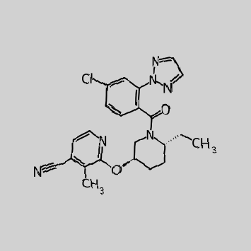 CC[C@@H]1CC[C@@H](Oc2nccc(C#N)c2C)CN1C(=O)c1ccc(Cl)cc1-n1nccn1